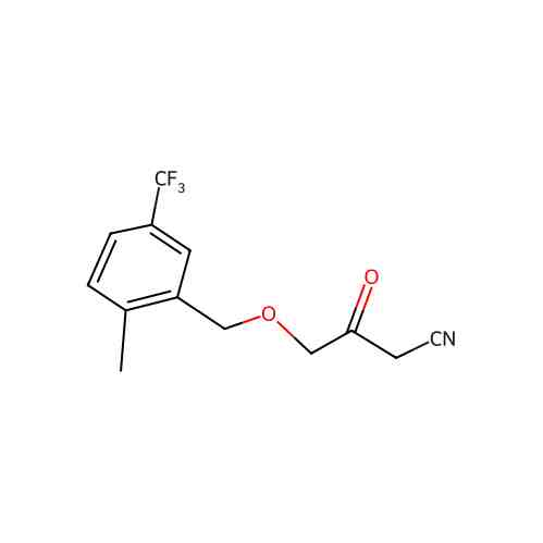 Cc1ccc(C(F)(F)F)cc1COCC(=O)CC#N